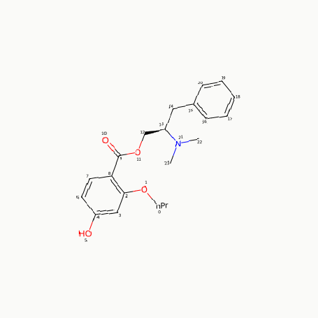 CCCOc1cc(O)ccc1C(=O)OC[C@@H](Cc1ccccc1)N(C)C